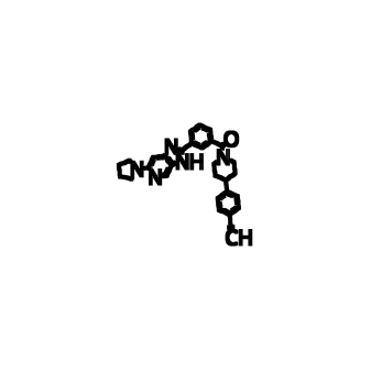 C#Cc1ccc(C2CCN(C(=O)c3cccc(-c4nc5cc(N6CCCC6)ncc5[nH]4)c3)CC2)cc1